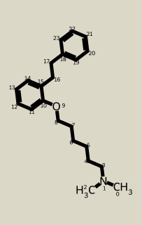 CN(C)CCCCCCOc1ccccc1CCc1ccccc1